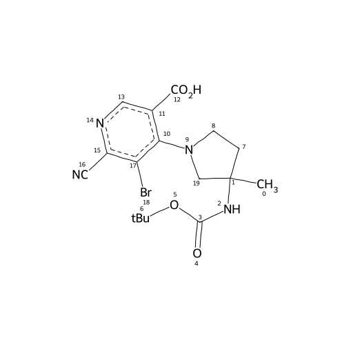 CC1(NC(=O)OC(C)(C)C)CCN(c2c(C(=O)O)cnc(C#N)c2Br)C1